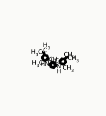 CC1=CC(=C(C)C)CC(C)=C1Nc1ccc(NC2=C(C)CC(=C(C)C)C=C2C)cc1